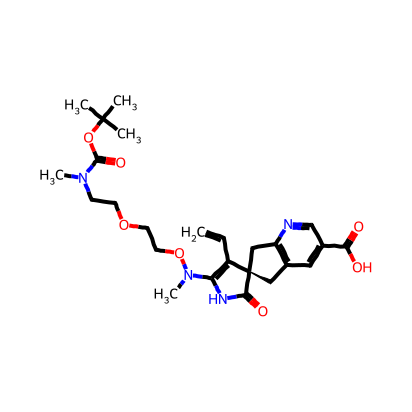 C=CC1=C(N(C)OCCOCCN(C)C(=O)OC(C)(C)C)NC(=O)[C@]12Cc1cc(C(=O)O)cnc1C2